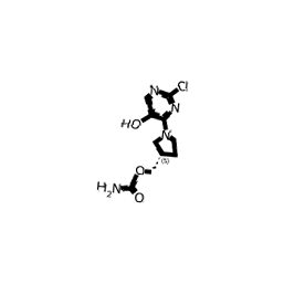 NC(=O)OC[C@H]1CCN(c2nc(Cl)ncc2O)C1